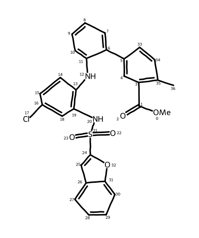 COC(=O)c1cc(-c2ccccc2Nc2ccc(Cl)cc2NS(=O)(=O)c2cc3ccccc3o2)ccc1C